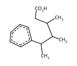 CC(CC(=O)O)C(C)C(C)c1ccccc1